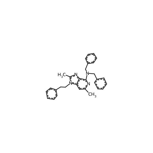 Cc1cc2c(nc(C)n2CCc2ccccc2)c(N(Cc2ccccc2)Cc2ccccc2)n1